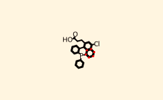 O=C(O)CCc1cc(Cl)c2ccccc2c1-c1ccccc1P(c1ccccc1)c1ccccc1